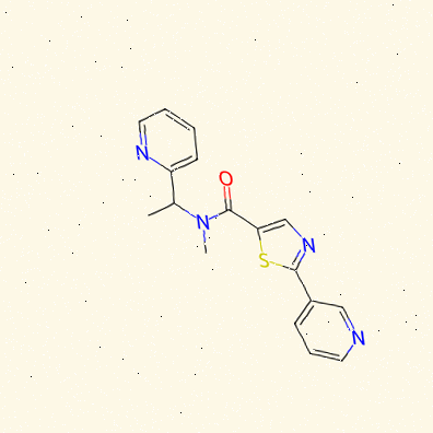 CC(c1ccccn1)N(C)C(=O)c1cnc(-c2cccnc2)s1